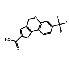 O=C(O)c1cc2c(s1)-c1ccc(C(F)(F)F)cc1OC2